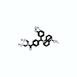 CCN(CC)C(=O)c1ccc(C(c2cccc(OC)c2)N2C3CCC4C2CCC3N4C)cc1